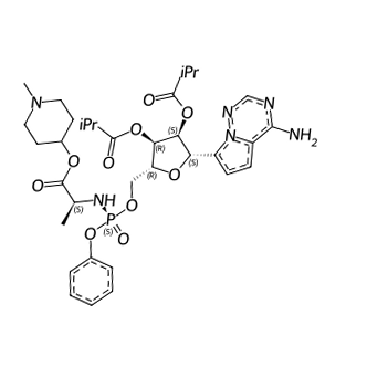 CC(C)C(=O)O[C@@H]1[C@H](OC(=O)C(C)C)[C@@H](CO[P@@](=O)(N[C@@H](C)C(=O)OC2CCN(C)CC2)Oc2ccccc2)O[C@H]1c1ccc2c(N)ncnn12